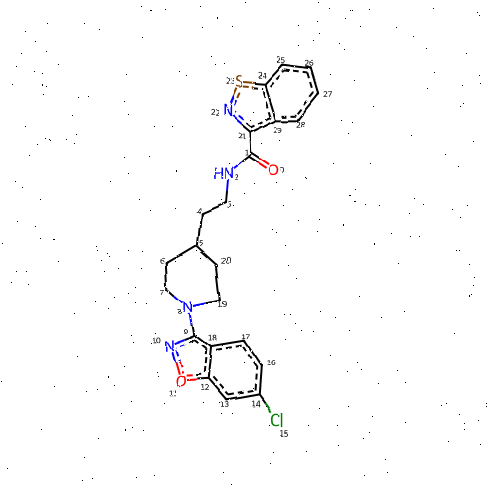 O=C(NCCC1CCN(c2noc3cc(Cl)ccc23)CC1)c1nsc2ccccc12